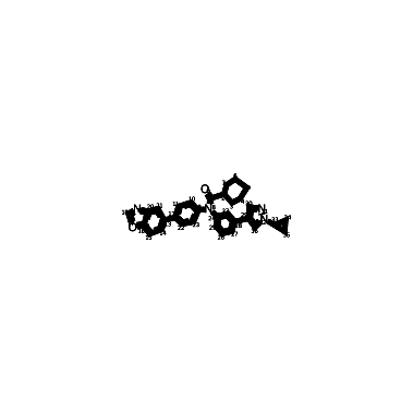 O=C(C1CCCCC1)N(c1ccc(-c2ccc3ocnc3c2)cc1)c1cccc(-c2cnn(C3CC3)c2)c1